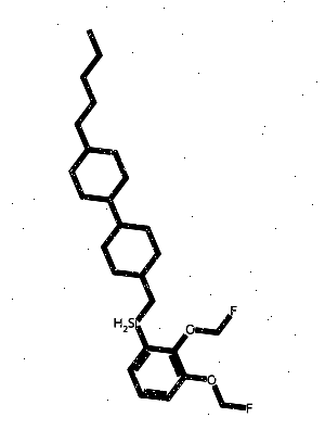 CCCCCC1CCC(C2CCC(C[SiH2]c3cccc(OCF)c3OCF)CC2)CC1